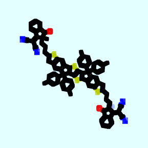 Cc1ccc(C2(c3ccc(C)cc3)c3cc4cc(CC/C=C5\C(=O)c6ccccc6C5=C(C#N)C#N)sc4cc3-c3sc4c5c(sc4c32)-c2cc3sc(CCCC4(C)C(=O)c6ccccc6C4=C(C#N)C#N)cc3cc2C5(c2ccc(C)cc2)c2ccc(C)cc2)cc1